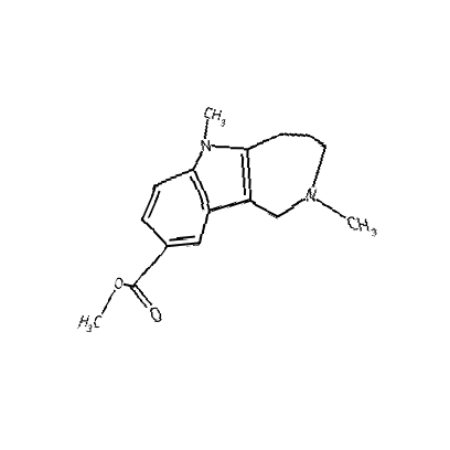 COC(=O)c1ccc2c(c1)c1c(n2C)CCN(C)C1